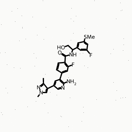 CSc1cc(F)cc(C(CO)NC(=O)c2ccc(-c3cc(-c4cn(C)nc4C)cnc3N)cc2F)c1